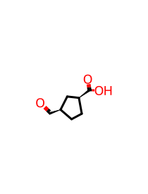 O=C[C@@H]1CC[C@H](C(=O)O)C1